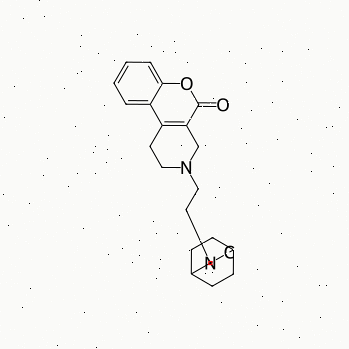 O=c1oc2ccccc2c2c1CN(CCN1CC3CCC(CC3)C1)CC2